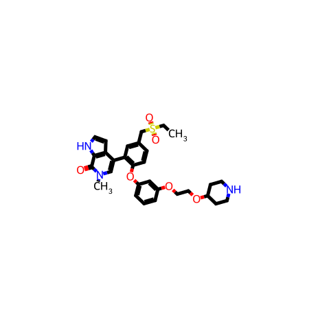 CCS(=O)(=O)Cc1ccc(Oc2cccc(OCCOC3CCNCC3)c2)c(-c2cn(C)c(=O)c3[nH]ccc23)c1